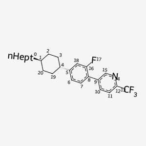 CCCCCCC[C@H]1CC[C@H](c2ccc(-c3ccc(C(F)(F)F)nc3)c(F)c2)CC1